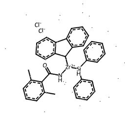 Cc1cccc(C)c1C(=O)[NH][Zr+2]([CH]1c2ccccc2-c2ccccc21)[SiH](c1ccccc1)c1ccccc1.[Cl-].[Cl-]